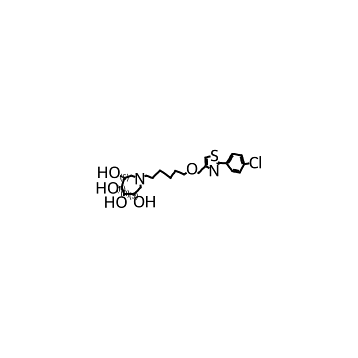 O[C@H]1[C@H](O)[C@@H](O)CN(CCCCCCOCc2csc(-c3ccc(Cl)cc3)n2)C[C@@H]1O